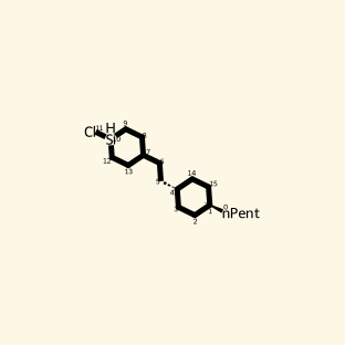 CCCCC[C@H]1CC[C@H](CCC2CC[SiH](Cl)CC2)CC1